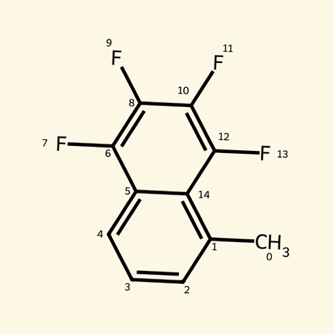 Cc1cccc2c(F)c(F)c(F)c(F)c12